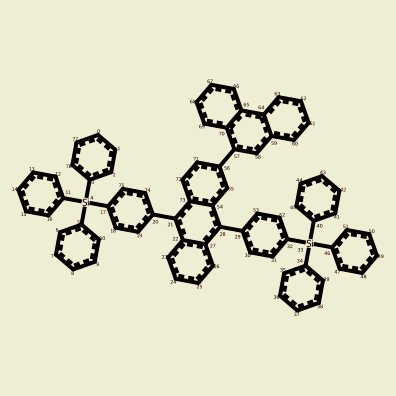 c1ccc([Si](c2ccccc2)(c2ccccc2)c2ccc(-c3c4ccccc4c(-c4ccc([Si](c5ccccc5)(c5ccccc5)c5ccccc5)cc4)c4cc(-c5cc6ccccc6c6ccccc56)ccc34)cc2)cc1